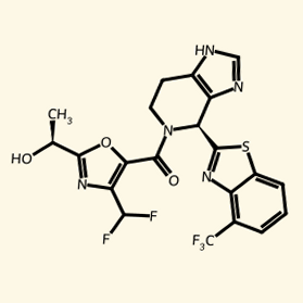 C[C@H](O)c1nc(C(F)F)c(C(=O)N2CCc3[nH]cnc3[C@H]2c2nc3c(C(F)(F)F)cccc3s2)o1